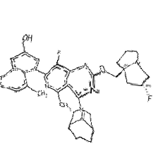 Cc1cccc2cc(O)cc(-c3nc(C)c4c(N5CC6CCC(C5)N6)nc(OC[C@@]56CCCN5C[C@H](F)C6)nc4c3F)c12